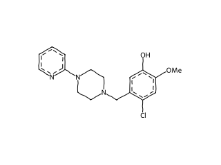 COc1cc(Cl)c(CN2CCN(c3ccccn3)CC2)cc1O